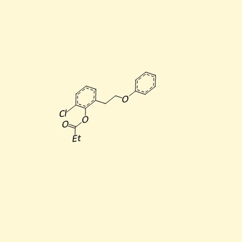 CCC(=O)Oc1c(Cl)cccc1CCOc1ccccc1